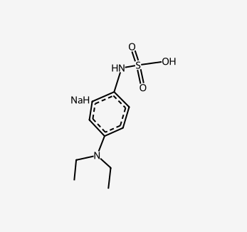 CCN(CC)c1ccc(NS(=O)(=O)O)cc1.[NaH]